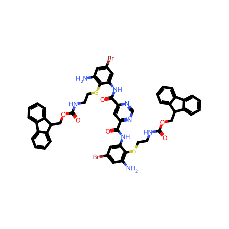 Nc1cc(Br)cc(NC(=O)c2cc(C(=O)Nc3cc(Br)cc(N)c3SCCNC(=O)OCC3c4ccccc4-c4ccccc43)ncn2)c1SCCNC(=O)OCC1c2ccccc2-c2ccccc21